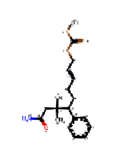 CCCSC(=S)SC/C=C/CCC(c1ccccc1)C(C)(C#N)CC(N)=O